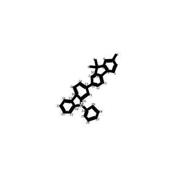 Cc1ccc2c(c1)C(C)(C)c1cc(-c3ccc4c5ccccc5n(-c5ccccc5)c4c3)ccc1-2